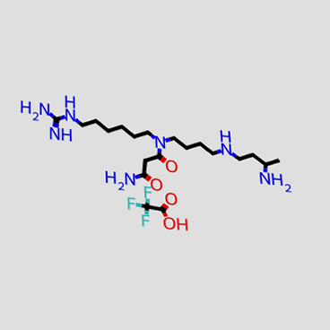 CC(N)CCNCCCCN(CCCCCCNC(=N)N)C(=O)CC(N)=O.O=C(O)C(F)(F)F